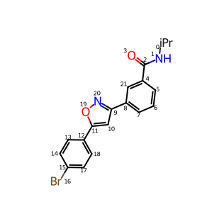 CC(C)NC(=O)c1cccc(-c2cc(-c3ccc(Br)cc3)on2)c1